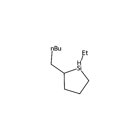 CCCCCC1CCC[SiH]1CC